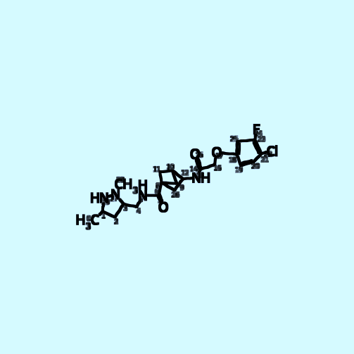 CC1CC(CNC(=O)C23CC(C2)C(NC(=O)COc2ccc(Cl)c(F)c2)C3)N(C)N1